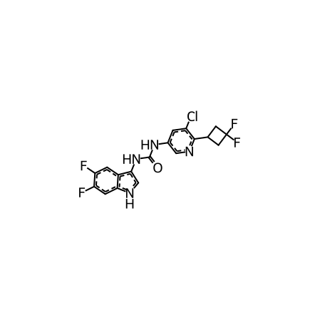 O=C(Nc1cnc(C2CC(F)(F)C2)c(Cl)c1)Nc1c[nH]c2cc(F)c(F)cc12